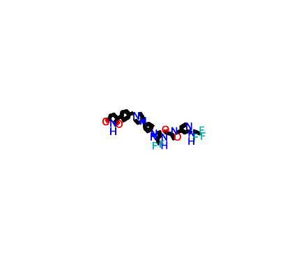 O=C1CCC(c2ccc(CN3CCN(c4ccc(-n5cc(NC(=O)c6coc(-c7ccnc(NCC(F)(F)F)c7)n6)c(C(F)F)n5)cc4)CC3)cc2)C(=O)N1